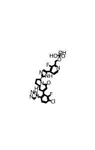 O=C1C=C(c2c(-n3cnnn3)ccc(Cl)c2F)C[C@H]2CC[C@@H](c3ncc(-c4ccnc(COP(=O)(O)O)c4F)[nH]3)N12